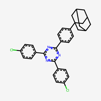 Clc1ccc(-c2nc(-c3ccc(Cl)cc3)nc(-c3ccc(C45CC6CC(CC(C6)C4)C5)cc3)n2)cc1